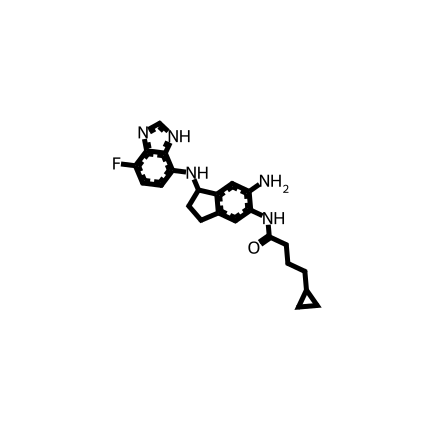 Nc1cc2c(cc1NC(=O)CCCC1CC1)CCC2Nc1ccc(F)c2nc[nH]c12